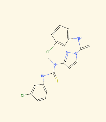 C=C(Nc1cccc(Cl)c1)n1ccc(N(C)C(=S)Nc2cccc(Cl)c2)n1